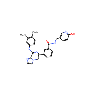 COc1ccc(Nc2nc(-c3cccc(C(=O)NCc4ccc(O)nc4)c3)cn3ccnc23)cc1OC